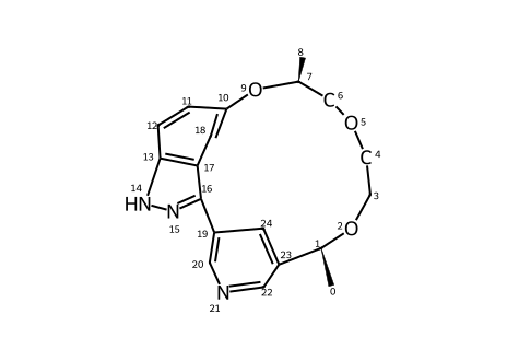 C[C@@H]1OCCOC[C@H](C)Oc2ccc3[nH]nc(c3c2)-c2cncc1c2